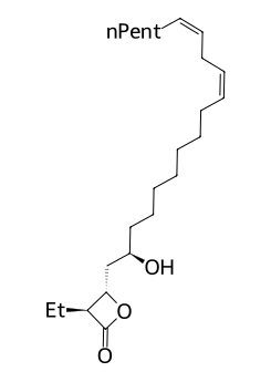 CCCCC/C=C\C/C=C\CCCCCCC[C@@H](O)C[C@@H]1OC(=O)[C@H]1CC